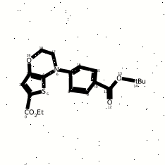 CCOC(=O)c1cc2c(s1)N(c1ccc(C(=O)OC(C)(C)C)cc1)CCO2